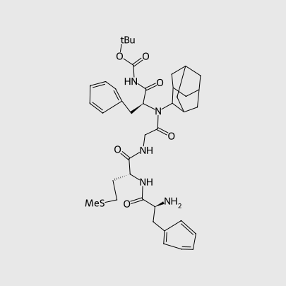 CSCC[C@@H](NC(=O)[C@@H](N)Cc1ccccc1)C(=O)NCC(=O)N(C1C2CC3CC(C2)CC1C3)[C@@H](Cc1ccccc1)C(=O)NC(=O)OC(C)(C)C